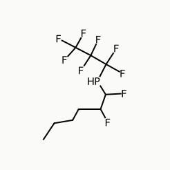 CCCCC(F)C(F)PC(F)(F)C(F)(F)C(F)(F)F